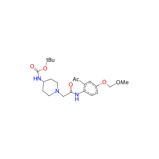 COCOc1ccc(NC(=O)CN2CCC(NC(=O)OC(C)(C)C)CC2)c(C(C)=O)c1